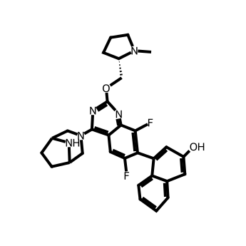 CN1CCC[C@H]1COc1nc(N2CC3CCC(C2)N3)c2cc(F)c(-c3cc(O)cc4ccccc34)c(F)c2n1